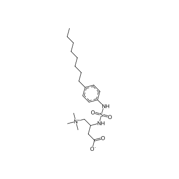 CCCCCCCCc1ccc(NS(=O)(=O)NC(CC(=O)[O-])C[N+](C)(C)C)cc1